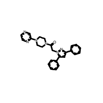 O=C(Cn1nc(-c2ccccc2)cc1-c1ccccc1)N1CCN(c2cnccn2)CC1